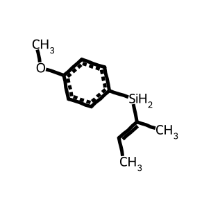 CC=C(C)[SiH2]c1ccc(OC)cc1